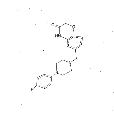 O=C1COc2ccc(CN3CCN(c4ccc(F)cc4)CC3)cc2N1